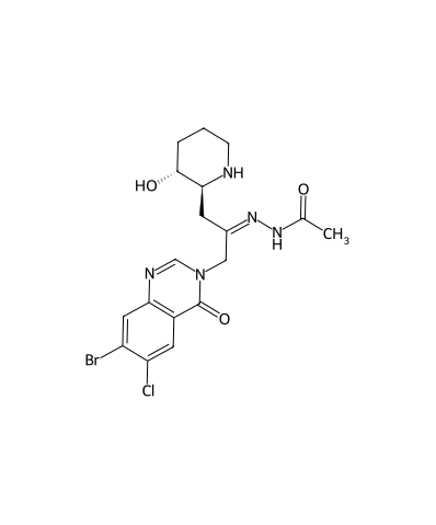 CC(=O)N/N=C(/C[C@@H]1NCCC[C@H]1O)Cn1cnc2cc(Br)c(Cl)cc2c1=O